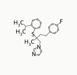 CC(C)c1ccccc1SC(C)(CCc1ccc(F)cc1)Cn1ccnc1